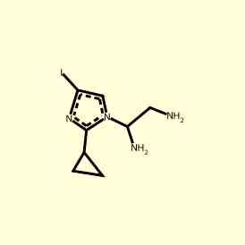 NCC(N)n1cc(I)nc1C1CC1